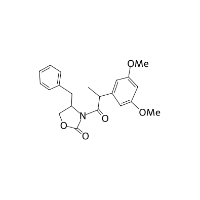 COc1cc(OC)cc(C(C)C(=O)N2C(=O)OCC2Cc2ccccc2)c1